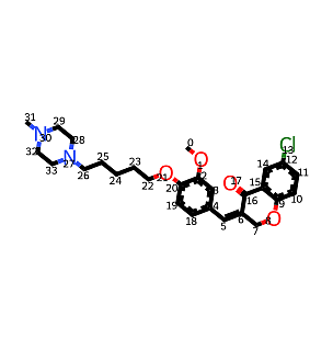 COc1cc(C=C2COc3ccc(Cl)cc3C2=O)ccc1OCCCCCN1CCN(C)CC1